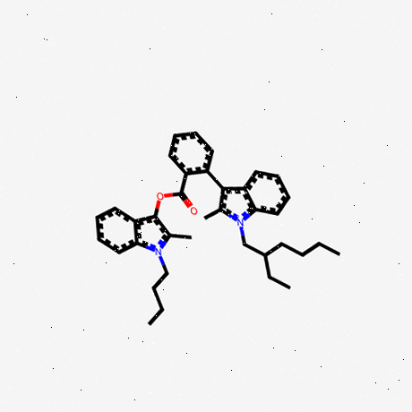 CCCCC(CC)Cn1c(C)c(-c2ccccc2C(=O)Oc2c(C)n(CCCC)c3ccccc23)c2ccccc21